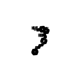 COc1ccc2nccc(C(O)CN3CCN(CCCOc4ccccc4)CC3)c2c1